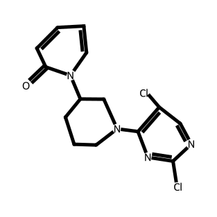 O=c1ccccn1C1CCCN(c2nc(Cl)ncc2Cl)C1